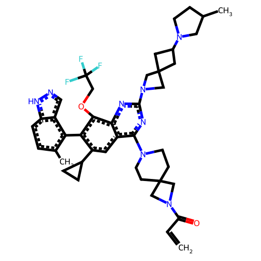 C=CC(=O)N1CC2(CCN(c3nc(N4CC5(CC(N6CCC(C)C6)C5)C4)nc4c(OCC(F)(F)F)c(-c5c(C)ccc6[nH]ncc56)c(C5CC5)cc34)CC2)C1